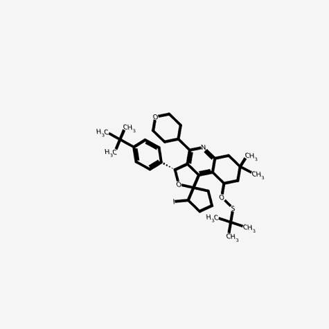 CC1(C)Cc2nc(C3CCOCC3)c3c(c2C(OSC(C)(C)C)C1)C1(CCCC1I)O[C@@H]3c1ccc(C(C)(C)C)cc1